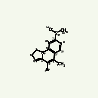 CC1=C(Br)C2=NCCN2c2nc([S+](C)[O-])ncc21